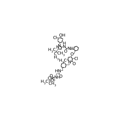 Cc1cc(OCc2ccccc2CNC(=O)Nc2cc(C(C)(C)C)nn2-c2ccc(O)c(Cl)c2)c(Cl)c(=O)n1Cc1cccc(CNC(=O)CNC(=O)OC(C)(C)C)c1